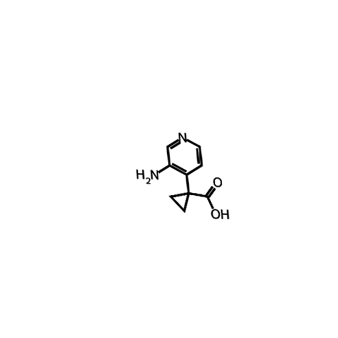 Nc1cnccc1C1(C(=O)O)CC1